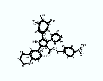 O=C(OCc1ccc([N+](=O)[O-])cc1)c1c(-c2ccc3c(c2)CCCS3)[nH]c(-c2cc(F)c(F)c(F)c2)c1-c1ccncc1